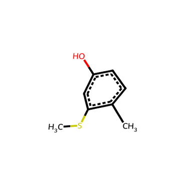 CSc1cc(O)ccc1C